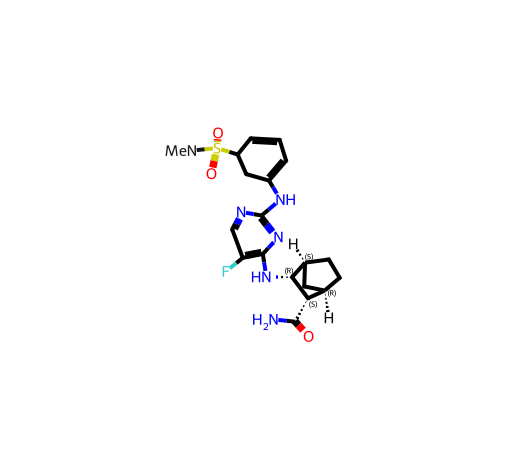 CNS(=O)(=O)C1C=CC=C(Nc2ncc(F)c(N[C@@H]3[C@H]4CC[C@H](C4)[C@@H]3C(N)=O)n2)C1